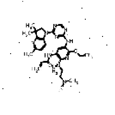 C=CC(=O)Nc1cc(Nc2ncnc(N3CC(C)(C)c4nc(C)ccc43)n2)c(OCC(F)(F)F)nc1N(C)CCN(C)C